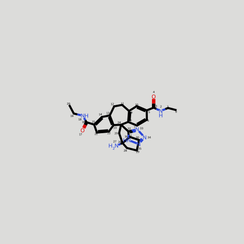 CCNC(=O)c1ccc2c(c1)CCc1cc(C(=O)NCC)ccc1C2(CC1(N)CCCC1)c1nnn[nH]1